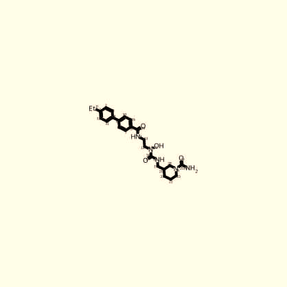 CCc1ccc(-c2ccc(C(=O)NCCN(O)C(=O)NCC3CCCN(C(N)=O)C3)cc2)cc1